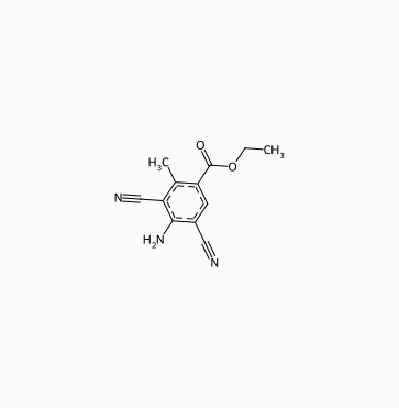 CCOC(=O)c1cc(C#N)c(N)c(C#N)c1C